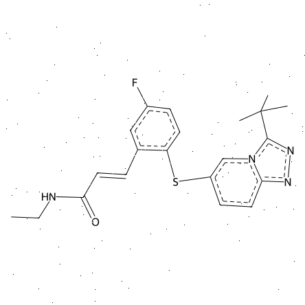 CCNC(=O)C=Cc1cc(F)ccc1Sc1ccc2nnc(C(C)(C)C)n2c1